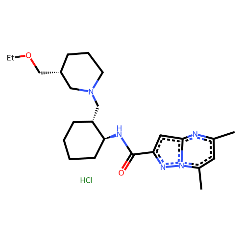 CCOC[C@@H]1CCCN(C[C@H]2CCCC[C@@H]2NC(=O)c2cc3nc(C)cc(C)n3n2)C1.Cl